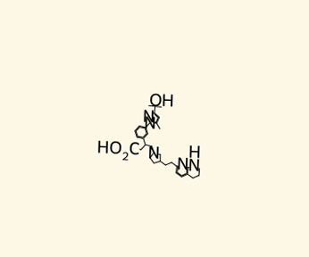 Cc1cc(C(C)(C)O)nn1-c1cccc(C(CC(=O)O)CN2CCC(CCc3ccc4c(n3)NCCC4)C2)c1